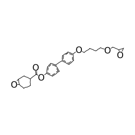 O=C(Oc1ccc(-c2ccc(OCCCCOCC3CO3)cc2)cc1)C1CCC2OC2C1